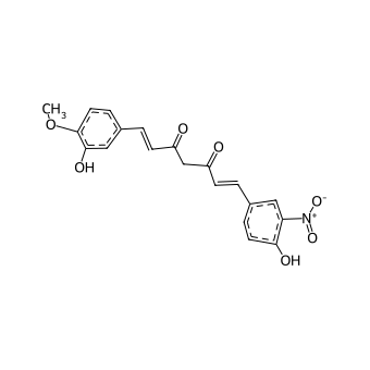 COc1ccc(C=CC(=O)CC(=O)C=Cc2ccc(O)c([N+](=O)[O-])c2)cc1O